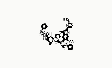 C=C[C@@H]1C[C@]1(NC(=O)[C@@H]1C[C@@H](Oc2cc(-c3csc(NC(C)C)n3)nc3cc(OC)ccc23)CN1C(=O)[C@@H](NC(=O)OC1CCCC1)C(C)(C)C)C(=O)NS(=O)(=O)Oc1ccccc1